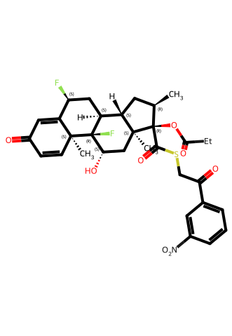 CCC(=O)O[C@]1(C(=O)SCC(=O)c2cccc([N+](=O)[O-])c2)[C@H](C)C[C@H]2[C@@H]3C[C@H](F)C4=CC(=O)C=C[C@]4(C)[C@@]3(F)[C@@H](O)C[C@@]21C